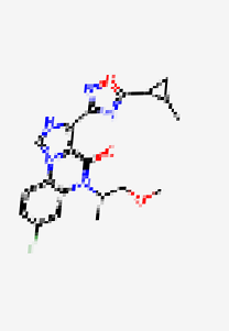 COCC(C)n1c(=O)c2c(-c3noc(C4CC4C)n3)ncn2c2ccc(F)cc21